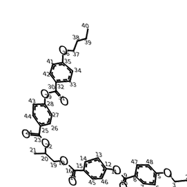 CCCCOc1ccc(C(=O)Oc2ccc(C(=O)OCC(C)OC(=O)c3ccc(OC(=O)c4ccc(OCCCC)cc4)cc3)cc2)cc1